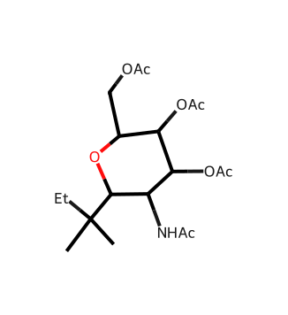 CCC(C)(C)C1OC(COC(C)=O)C(OC(C)=O)C(OC(C)=O)C1NC(C)=O